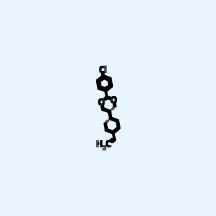 C=C[C@H]1CC[C@H]([C@H]2CO[C@H](c3ccc(Cl)cc3)OC2)CC1